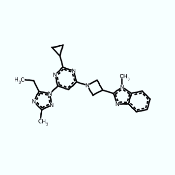 CCc1nc(C)nn1-c1cc(N2CC(c3nc4ccccc4n3C)C2)nc(C2CC2)n1